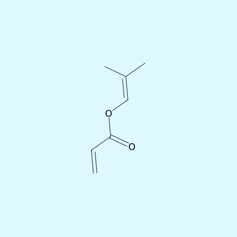 C=CC(=O)OC=C(C)C